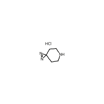 C1CC2(CCN1)N=N2.Cl